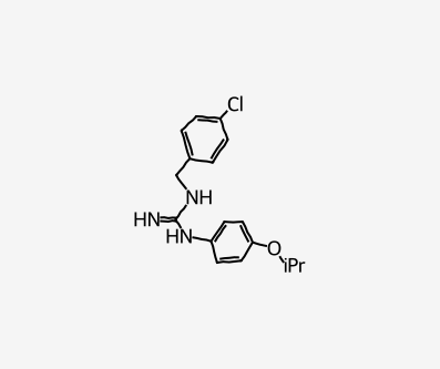 CC(C)Oc1ccc(NC(=N)NCc2ccc(Cl)cc2)cc1